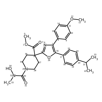 COC(=O)C1(c2nc(-c3ccc(OC)cc3)c(-c3ccc(C(C)C)cc3)o2)CCN(C(=O)N(C)O)CC1